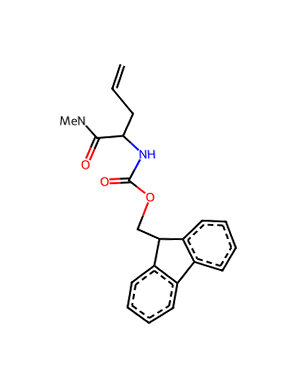 C=CCC(NC(=O)OCC1c2ccccc2-c2ccccc21)C(=O)NC